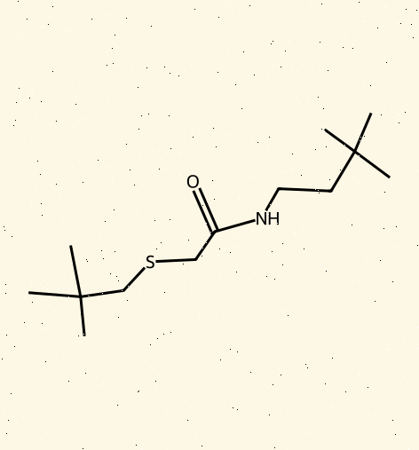 CC(C)(C)CCNC(=O)CSCC(C)(C)C